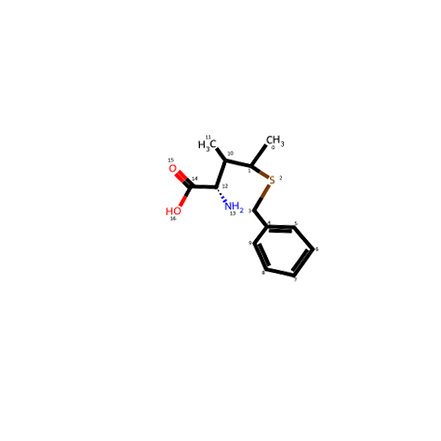 CC(SCc1ccccc1)C(C)[C@H](N)C(=O)O